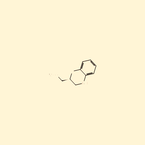 COC[C@@H]1CNc2ccccc2S1